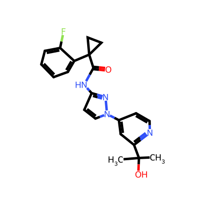 CC(C)(O)c1cc(-n2ccc(NC(=O)C3(c4ccccc4F)CC3)n2)ccn1